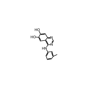 Cc1cccc(Nc2ncnc3cc(O)c(O)cc23)c1